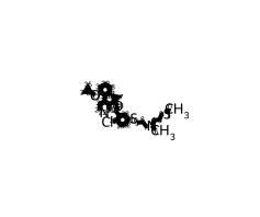 CSCCCN(C)CCCSc1ccc(Cl)c(COC2(c3cnccc3-c3ccccc3OC3CC3)CC2)c1